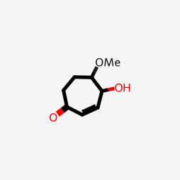 COC1CCC(=O)C=CC1O